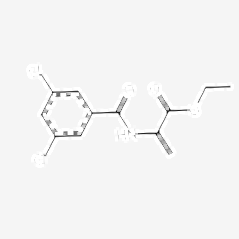 C=C(NC(=O)c1cc(Cl)cc(Cl)c1)C(=O)OCC